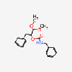 COC(OC)C(Cc1ccccc1)OC(=O)NCc1ccccc1